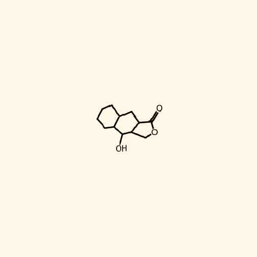 O=C1OCC2C1CC1CCCCC1C2O